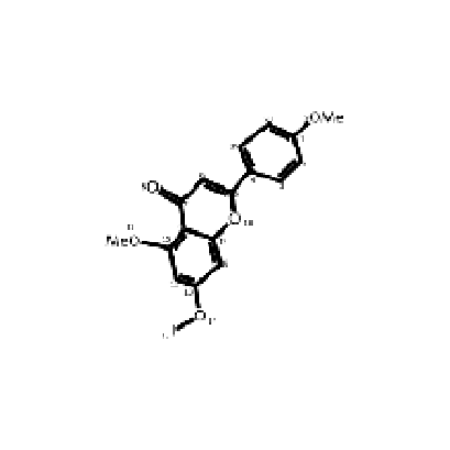 COc1ccc(-c2cc(=O)c3c(OC)cc(OI)cc3o2)cc1